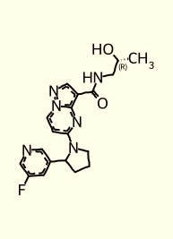 C[C@@H](O)CNC(=O)c1cnn2ccc(N3CCCC3c3cncc(F)c3)nc12